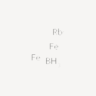 B.[Fe].[Fe].[Rb]